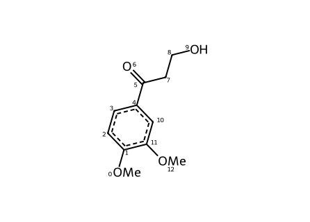 COc1ccc(C(=O)CCO)cc1OC